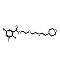 O=C(OCCOCCOCCN1CCOCC1)c1cc(I)cc(I)c1I